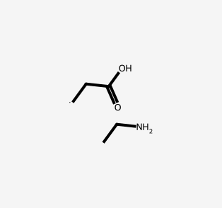 CCN.[CH2]CC(=O)O